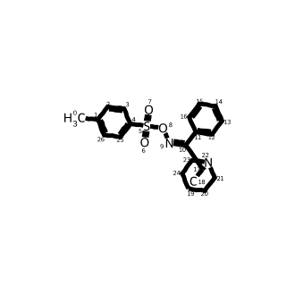 Cc1ccc(S(=O)(=O)ON=C(c2ccccc2)C2CC3CCN2CC3)cc1